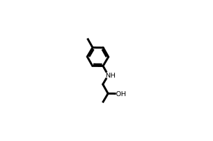 Cc1ccc(NCC(C)O)cc1